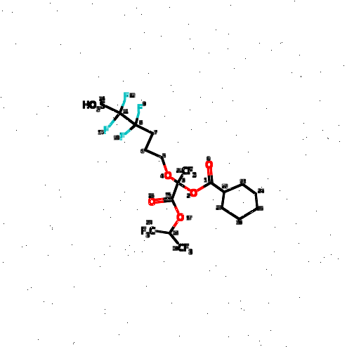 O=C(OC(OCCCC(F)(F)C(F)(F)S(=O)(=O)O)(C(=O)OC(C(F)(F)F)C(F)(F)F)C(F)(F)F)C1CCCCC1